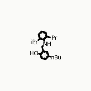 CCCCc1ccc(O)c(CNc2c(C(C)C)cccc2C(C)C)c1